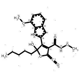 CCCCCC1(O)OC(=C=O)C(C(=O)NOC)=C1c1cc2cccc(OC)c2[nH]1